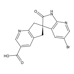 O=C(O)c1cnc2c(c1)C[C@@]1(C2)C(=O)Nc2ncc(Br)cc21